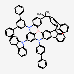 CC1(C)c2ccc3c(c2)B2c4cc5c(cc4N(c4ccc(-c6ccccc6)cc4)c4cc(-n6c7ccccc7c7ccccc76)cc(c42)N3c2cc(-c3ccccc3)cc(-c3ccccc3)c2)-c2ccccc2C52c3ccccc3-c3cc1ccc32